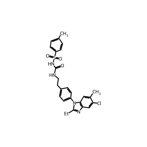 CCc1nc2cc(Cl)c(C)cc2n1-c1ccc(CCNC(=O)NS(=O)(=O)c2ccc(C)cc2)cc1